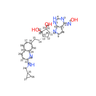 O/N=c1\nc[nH]c2c1ccn2[C@@H]1C[C@H](CCc2ccc3ccc(NCC4CC4)nc3c2)[C@@H](O)[C@H]1O